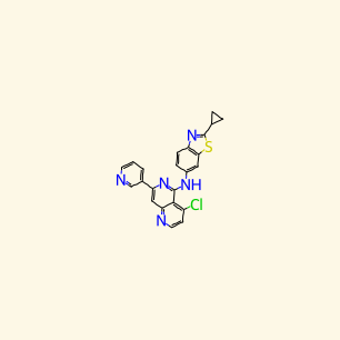 Clc1ccnc2cc(-c3cccnc3)nc(Nc3ccc4nc(C5CC5)sc4c3)c12